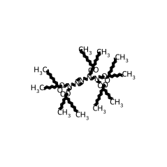 CCCCCCCCC(CCCCCC)C(=O)OCCN(CCOC(=O)C(CCCCCC)CCCCCCCC)CCN(CCOC(=O)C(CCCCCC)CCCCCCCC)CCN1CCN(CCN(CCOC(=O)C(CCCCCC)CCCCCCCC)CCOC(=O)C(CCCCCC)CCCCCCCC)CC1